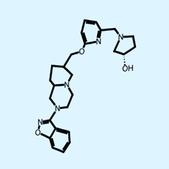 O[C@H]1CCN(Cc2cccc(OCC3CCC4CN(c5noc6ccccc56)CCN4C3)n2)C1